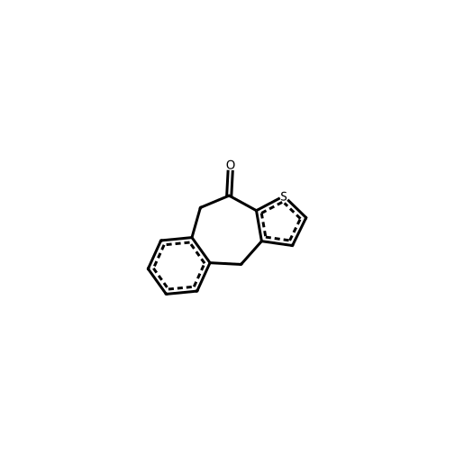 O=C1Cc2ccccc2Cc2ccsc21